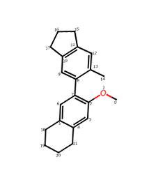 COc1cc2c(cc1-c1cc3c(cc1C)CCC3)CCCC2